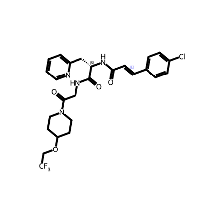 O=C(/C=C/c1ccc(Cl)cc1)N[C@@H](Cc1ccccn1)C(=O)NCC(=O)N1CCC(OCC(F)(F)F)CC1